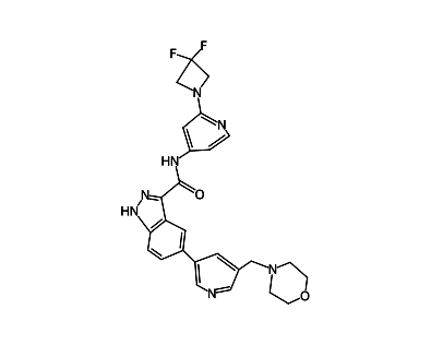 O=C(Nc1ccnc(N2CC(F)(F)C2)c1)c1n[nH]c2ccc(-c3cncc(CN4CCOCC4)c3)cc12